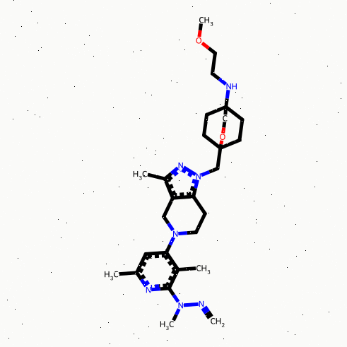 C=NN(C)c1nc(C)cc(N2CCc3c(c(C)nn3CC34CCC(NCCOC)(CC3)CO4)C2)c1C